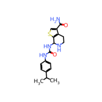 CC(C)c1ccc(NC(=O)NC2NCCc3c(C(N)=O)csc32)cc1